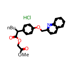 CCCCC(C(=O)OCC(=O)OC)c1ccc(OCc2ccc3ccccc3n2)cc1.Cl